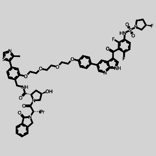 Cc1ncsc1-c1ccc(CNC(=O)[C@@H]2C[C@@H](O)CN2C(=O)[C@H](C(C)C)N2Cc3ccccc3C2=O)c(OCCOCCOCCOc2ccc(-c3cnc4[nH]cc(C(=O)c5c(F)ccc(NS(=O)(=O)N6CC[C@@H](F)C6)c5F)c4c3)cc2)c1